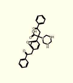 O=C(Cc1ccc(C(CC(=O)c2ccccc2)(C(=O)O)N2CNCNC2)c2c1O2)c1ccccc1